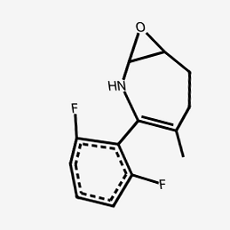 CC1=C(c2c(F)cccc2F)NC2OC2CC1